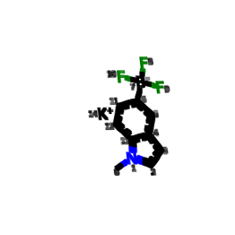 Cn1ccc2cc([B-](F)(F)F)ccc21.[K+]